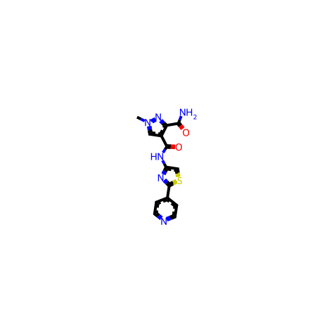 Cn1cc(C(=O)Nc2csc(-c3ccncc3)n2)c(C(N)=O)n1